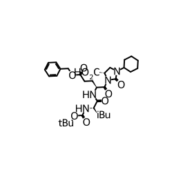 CC[C@H](C)[C@H](NC(=O)OC(C)(C)C)C(=O)N[C@@H](CCC(=O)OCc1ccccc1)C(=O)N1C(=O)N(C2CCCCC2)C[C@H]1C(=O)O